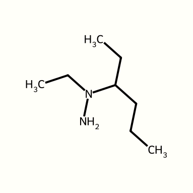 CCCC(CC)N(N)CC